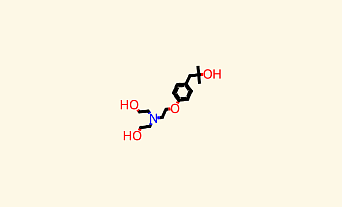 CC(C)(O)Cc1ccc(OCCN(CCO)CCO)cc1